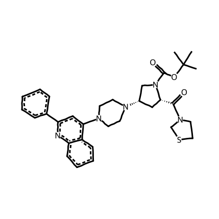 CC(C)(C)OC(=O)N1C[C@@H](N2CCN(c3cc(-c4ccccc4)nc4ccccc34)CC2)C[C@H]1C(=O)N1CCSC1